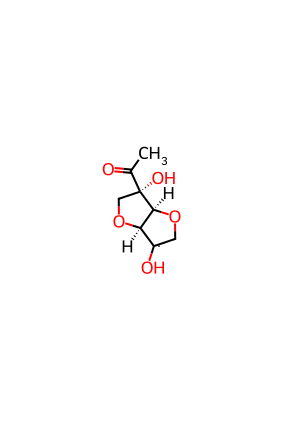 CC(=O)[C@]1(O)CO[C@@H]2[C](O)CO[C@@H]21